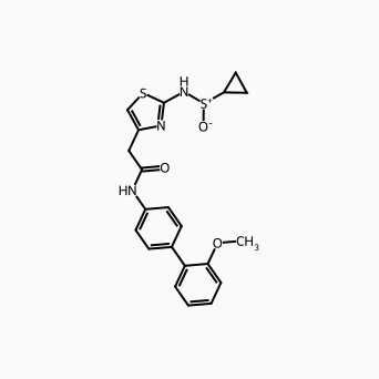 COc1ccccc1-c1ccc(NC(=O)Cc2csc(N[S+]([O-])C3CC3)n2)cc1